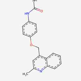 CCCC(=O)Nc1ccc(OCc2cc(C)nc3ccccc23)cc1